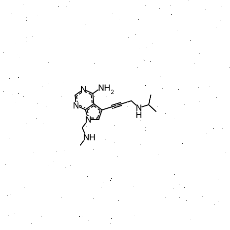 CNCn1cc(C#CCNC(C)C)c2c(N)ncnc21